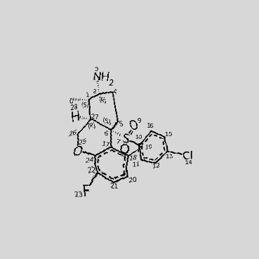 C[C@@H]1[C@H](N)CC[C@@]2(S(=O)(=O)c3ccc(Cl)cc3)c3c(F)ccc(F)c3OC[C@@H]12